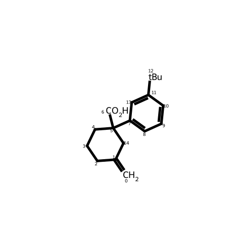 C=C1CCCC(C(=O)O)(c2cccc(C(C)(C)C)c2)C1